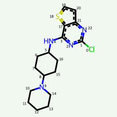 Clc1nc(NC2CCC(N3CCCCC3)CC2)c2sccc2n1